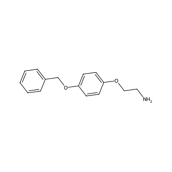 NCCOc1ccc(OCc2ccccc2)cc1